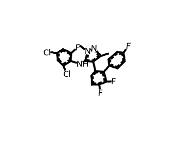 Cc1nn(C)c(Nc2c(F)cc(Cl)cc2Cl)c1-c1ccc(F)c(F)c1-c1ccc(F)cc1